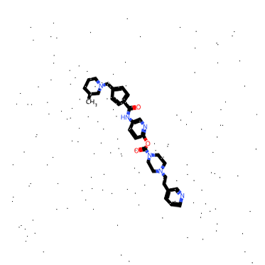 CC1CCCN(Cc2ccc(C(=O)Nc3ccc(OC(=O)N4CCN(CCc5cccnc5)CC4)nc3)cc2)C1